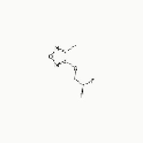 Cc1nonc1OCC(F)F